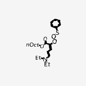 CCCCCCCCOC(=O)/C(=C\C=C\N(CC)CC)OOSc1ccccc1